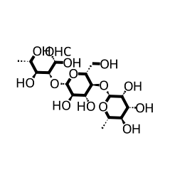 C[C@H](O)[C@H](O)[C@@H](O[C@@H]1O[C@H](CO)[C@@H](O[C@H]2O[C@@H](C)[C@H](O)[C@@H](O)[C@H]2O)[C@H](O)[C@H]1O)[C@@H](O)C=O